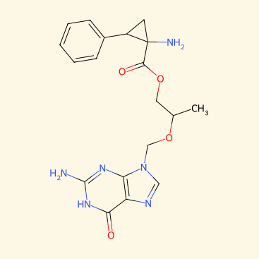 CC(COC(=O)C1(N)CC1c1ccccc1)OCn1cnc2c(=O)[nH]c(N)nc21